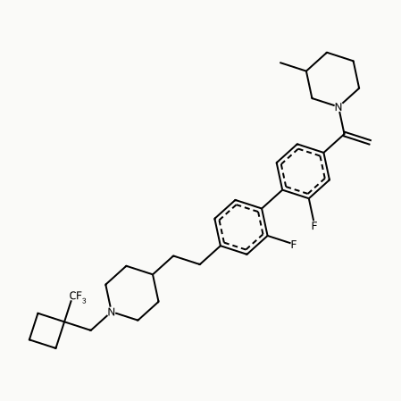 C=C(c1ccc(-c2ccc(CCC3CCN(CC4(C(F)(F)F)CCC4)CC3)cc2F)c(F)c1)N1CCCC(C)C1